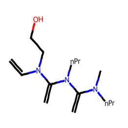 C=CN(CCO)C(=C)N(CCC)C(=C)N(C)CCC